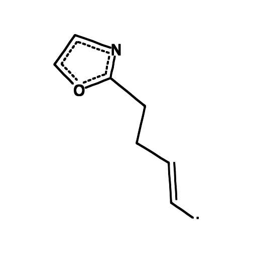 [CH2]C=CCCc1ncco1